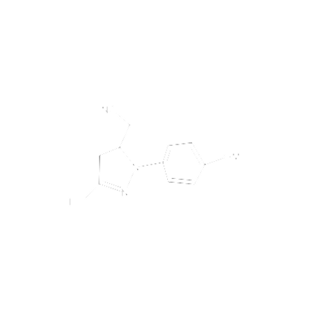 COc1ccc(N2N=C(C(F)(F)F)CC2CC#N)cc1